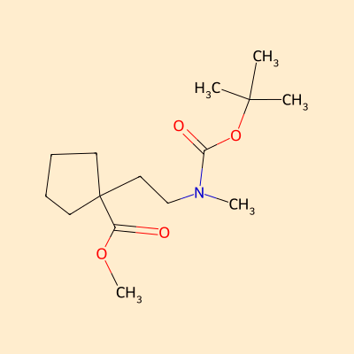 COC(=O)C1(CCN(C)C(=O)OC(C)(C)C)CCCC1